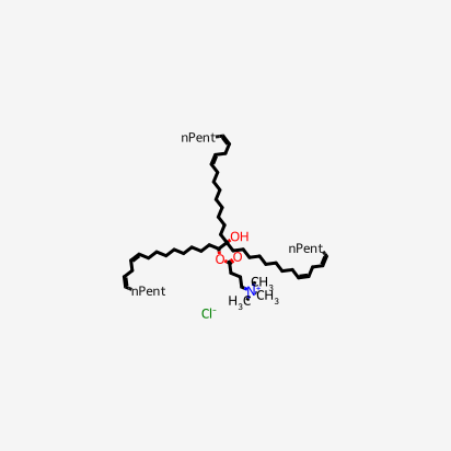 CCCCC/C=C\C/C=C\CCCCCCCCC(OC(=O)CCC[N+](C)(C)C)C(O)(CCCCCCCC/C=C\C/C=C\CCCCC)CCCCCCCC/C=C\C/C=C\CCCCC.[Cl-]